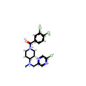 CN(Cc1cnc(Cl)cn1)C1CCN(C(=O)c2ccc(Cl)c(Cl)c2)CC1